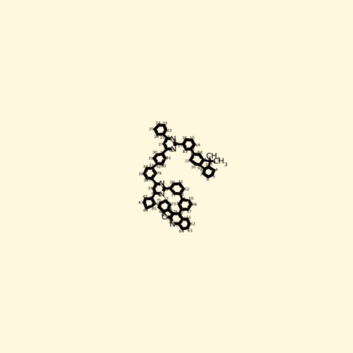 CC1(C)c2ccccc2-c2ccc(-c3cccc(-c4nc(-c5ccccc5)cc(-c5ccc(-c6cccc(-c7cc(-c8ccccc8)nc(-c8cccc(-c9cccc(-c%10c%11ccccc%11nc%11oc%12ccccc%12c%10%11)c9)c8)n7)c6)cc5)n4)c3)cc21